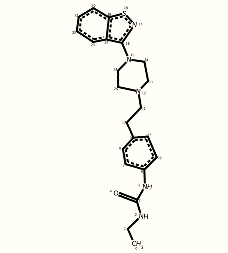 CCNC(=O)Nc1ccc(CCN2CCN(c3nsc4ccccc34)CC2)cc1